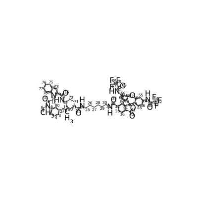 CCc1cccc(N(CC)C(=O)Cn2c(C(=O)N[C@H]3CC[C@H](C(=O)NCCCCCCNC(=O)c4ccc5c(c4)C4(OC5=O)c5ccc(NC(=O)C(F)(F)F)cc5Oc5cc(NC(=O)C(F)(F)F)ccc54)CC3)cc3ccccc32)c1